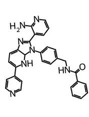 Nc1ncccc1C1=NC2=CC=C(c3ccncc3)NC2N1c1ccc(CNC(=O)c2ccccc2)cc1